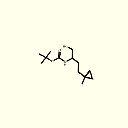 CC1(CCC(CO)NC(=O)OC(C)(C)C)CC1